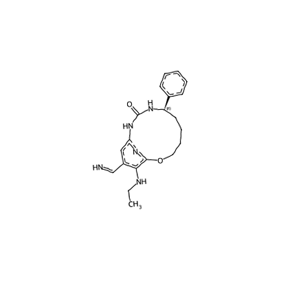 CCNc1c(C=N)cc2nc1OCCCC[C@H](c1ccccc1)NC(=O)N2